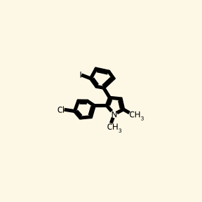 Cc1cc(-c2cccc(I)c2)c(-c2ccc(Cl)cc2)n1C